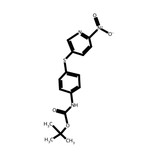 CC(C)(C)OC(=O)Nc1ccc(Sc2ccc([N+](=O)[O-])nc2)cc1